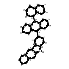 c1ccc2cc3c(cc2c1)oc1ccc(-c2c4ccccc4c(-c4cccc5ccccc45)c4ccccc24)cc13